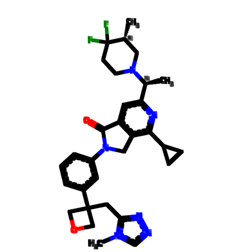 C[C@@H]1CN([C@@H](C)c2cc3c(c(C4CC4)n2)CN(c2cccc(C4(Cc5nncn5C)COC4)c2)C3=O)CCC1(F)F